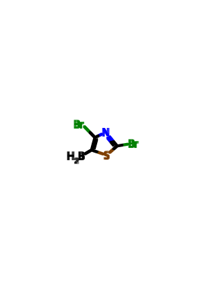 Bc1sc(Br)nc1Br